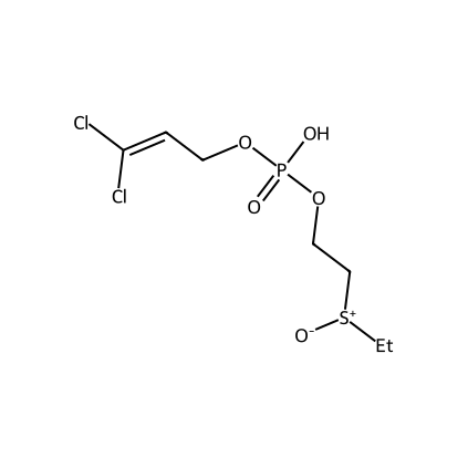 CC[S+]([O-])CCOP(=O)(O)OCC=C(Cl)Cl